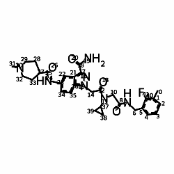 Cc1cccc(CNC(=O)CN(C(=O)Cn2nc(C(N)=O)c3cc(NC(=O)C4CCN(C)CC4)ccc32)C2CC2)c1F